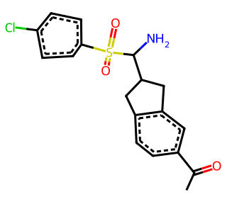 CC(=O)c1ccc2c(c1)CC(C(N)S(=O)(=O)c1ccc(Cl)cc1)C2